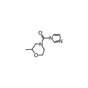 CC1CN(C(=O)n2ccnc2)CCO1